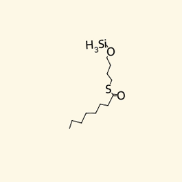 CCCCCCCC(=O)SCCCCO[SiH3]